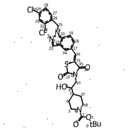 CC(C)(C)OC(=O)N1CCC(C(O)CN2C(=O)SC(=Cc3ccc4c(cnn4Cc4ccc(Cl)cc4C(F)(F)F)c3)C2=O)CC1